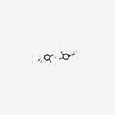 C=C[Si](C)(C)c1ccc(C(=O)OOC(=O)c2ccc([Si](C)(C)C=C)cc2CC)c(CC)c1